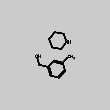 C1CCNCC1.Cc1cccc(CO)c1